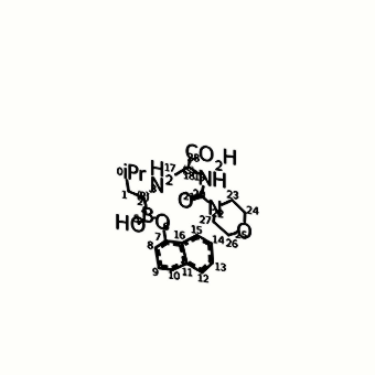 CC(C)C[C@H](N)B(O)Oc1cccc2ccccc12.C[C@H](NC(=O)N1CCOCC1)C(=O)O